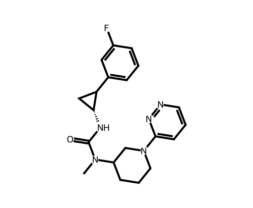 CN(C(=O)N[C@@H]1CC1c1cccc(F)c1)C1CCCN(c2cccnn2)C1